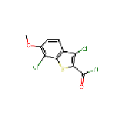 COc1ccc2c(Cl)c(C(=O)Cl)sc2c1Cl